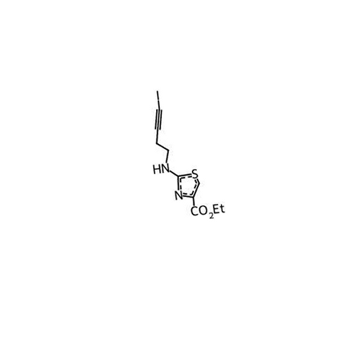 CCOC(=O)c1csc(NCCC#CI)n1